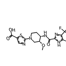 CO[C@H]1CN(c2ncc(C(=O)O)s2)CC[C@H]1NC(=O)c1nc(C(F)(F)F)c(C)[nH]1